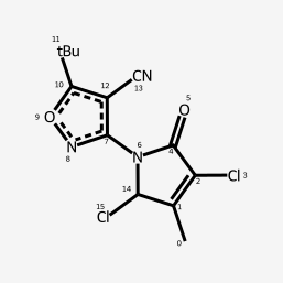 CC1=C(Cl)C(=O)N(c2noc(C(C)(C)C)c2C#N)C1Cl